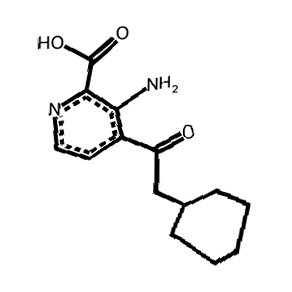 Nc1c(C(=O)CC2CCCCC2)ccnc1C(=O)O